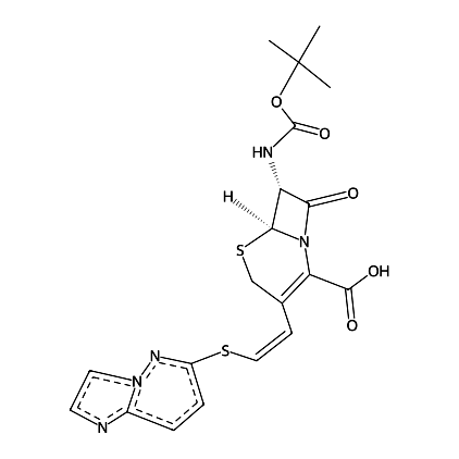 CC(C)(C)OC(=O)N[C@@H]1C(=O)N2C(C(=O)O)=C(/C=C\Sc3ccc4nccn4n3)CS[C@@H]12